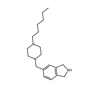 CCCCCCN1CCN(Cc2ccc3c(c2)CNC3)CC1